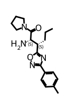 CCC[C@H](c1nc(-c2ccc(C)cc2)no1)[C@H](N)C(=O)N1CCCC1